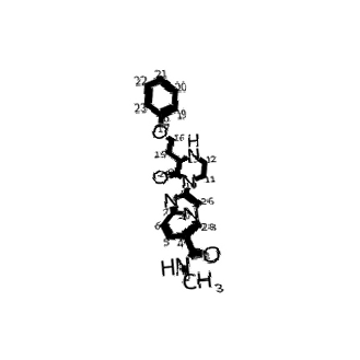 CNC(=O)c1ccc2nc(N3CCNC(CCOc4ccccc4)C3=O)cn2c1